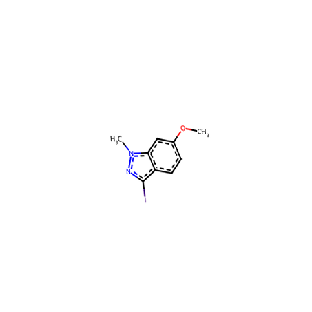 COc1ccc2c(I)nn(C)c2c1